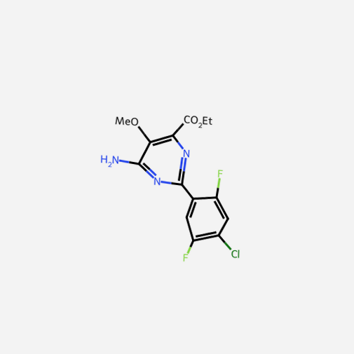 CCOC(=O)c1nc(-c2cc(F)c(Cl)cc2F)nc(N)c1OC